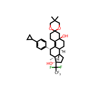 CC1(C)COC2(CCC3=C4[C@@H](CC[C@@]3(O)C2)[C@@H]2CC[C@@](O)(C(F)(F)C(F)(F)F)[C@@]2(C)C[C@@H]4c2ccc(C3CC3)cc2)OC1